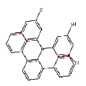 Sc1cc(Cl)cc(N(c2cccc(Cl)c2)c2c(-c3ccccc3)cccc2-c2ccccc2)c1